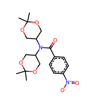 CC1(C)OCC(N(C(=O)c2ccc([N+](=O)[O-])cc2)C2COC(C)(C)OC2)CO1